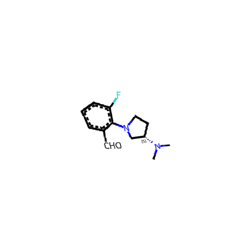 CN(C)[C@H]1CCN(c2c(F)cccc2C=O)C1